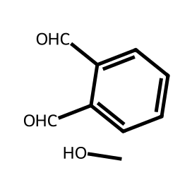 CO.O=Cc1ccccc1C=O